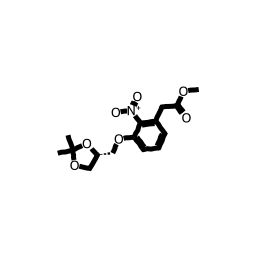 COC(=O)Cc1cccc(OC[C@@H]2COC(C)(C)O2)c1[N+](=O)[O-]